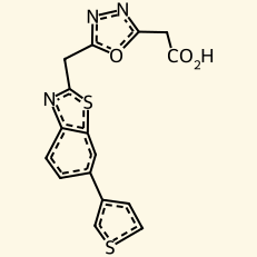 O=C(O)Cc1nnc(Cc2nc3ccc(-c4ccsc4)cc3s2)o1